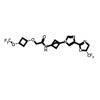 O=C(CO[C@H]1C[C@@H](OC(F)(F)F)C1)NC12CC(n3cnc(C4=NC[C@H](C(F)(F)F)O4)c3)(C1)C2